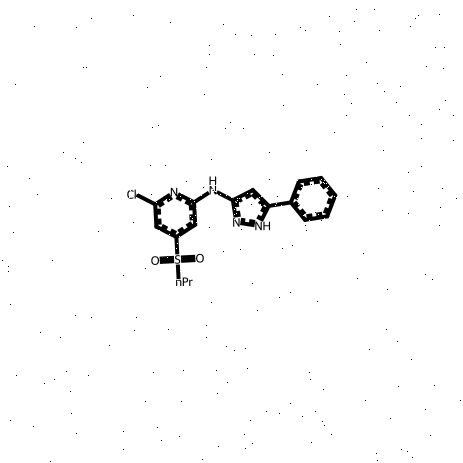 CCCS(=O)(=O)c1cc(Cl)nc(Nc2cc(-c3ccccc3)[nH]n2)c1